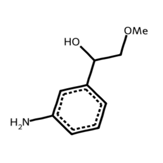 COCC(O)c1cccc(N)c1